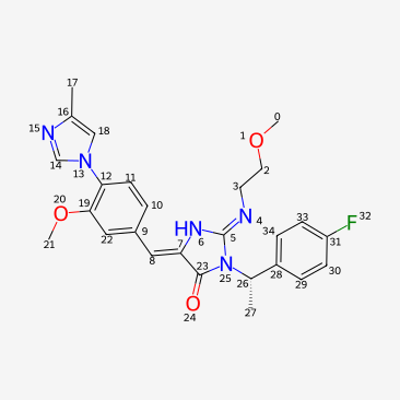 COCC/N=C1\N/C(=C\c2ccc(-n3cnc(C)c3)c(OC)c2)C(=O)N1[C@@H](C)c1ccc(F)cc1